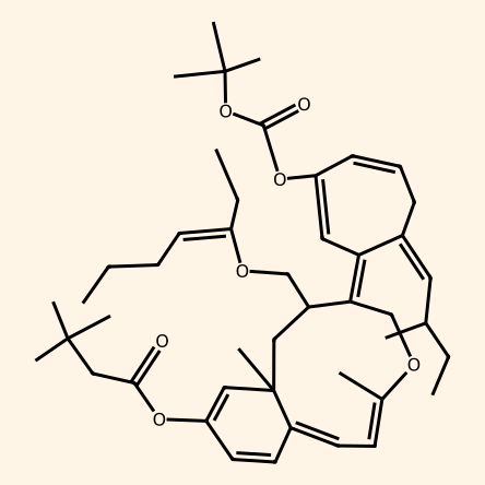 CCC/C=C(/CC)OCC1CC2(C)C=C(OC(=O)CC(C)(C)C)C=C/C2=C/C=C(\C)OC/C1=C1/C=C(OC(=O)OC(C)(C)C)C=CC/C1=C/C(C)CC